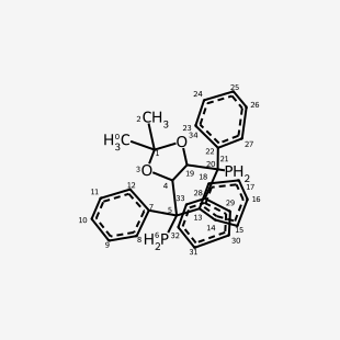 CC1(C)OC(C(P)(c2ccccc2)c2ccccc2)C(C(P)(c2ccccc2)c2ccccc2)O1